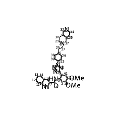 COc1cc(NC(=O)c2cnc3ccccc3c2)c(-c2nnn(-c3ccc(CCN4CCc5cnccc5C4)cc3)n2)cc1OC